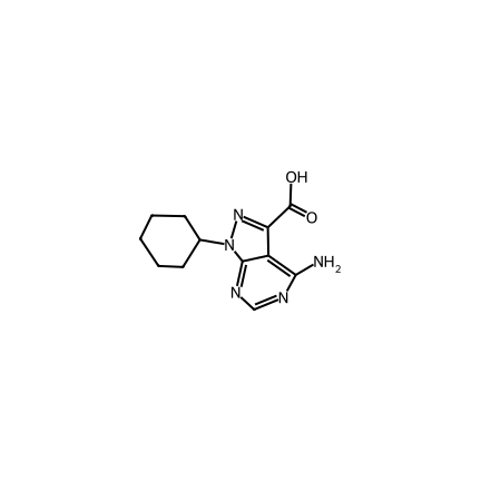 Nc1ncnc2c1c(C(=O)O)nn2C1CCCCC1